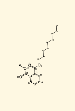 CCCCCCCCCOC(=O)c1ccccc1C(=O)OC